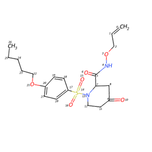 C=CCONC(=O)C1CC(=O)CCN1S(=O)(=O)c1ccc(OCCCCC)cc1